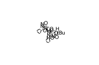 CN1N=C(Cc2ccccc2)C(C)(N(O)C(=O)O)C1=O.CN1N=C(Cc2ccccc2)C(C)(N(O)C(=O)OC(C)(C)C)C1=O